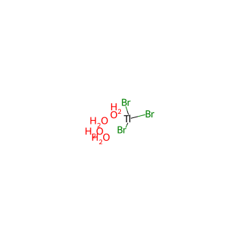 O.O.O.O.[Br][Tl]([Br])[Br]